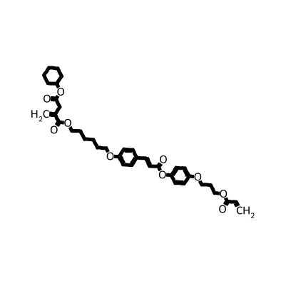 C=CC(=O)OCCCOc1ccc(OC(=O)/C=C/c2ccc(OCCCCCCOC(=O)C(=C)CC(=O)OC3CCCCC3)cc2)cc1